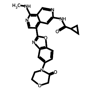 CNc1ncc(-c2nc3cc(N4CCOCC4=O)ccc3o2)c2cc(NC(=O)C3CC3)ncc12